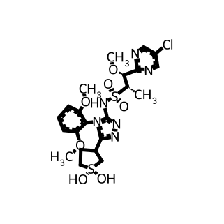 COc1cccc(OC)c1-n1c(NS(=O)(=O)[C@@H](C)[C@H](OC)c2ncc(Cl)cn2)nnc1C1CCS(O)(O)C1